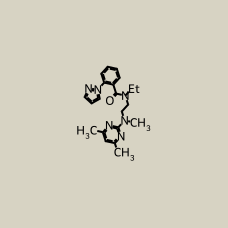 CCN(CCN(C)c1nc(C)cc(C)n1)C(=O)c1ccccc1-n1cccn1